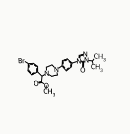 COC(=O)C(c1ccc(Br)cc1)N1CCN(c2ccc(-n3cnn(C(C)C)c3=O)cc2)CC1